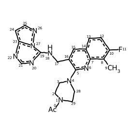 CC(=O)N1CCN(c2nc3c(C)c(F)ccc3cc2CNc2ncnc3ccnn23)CC1